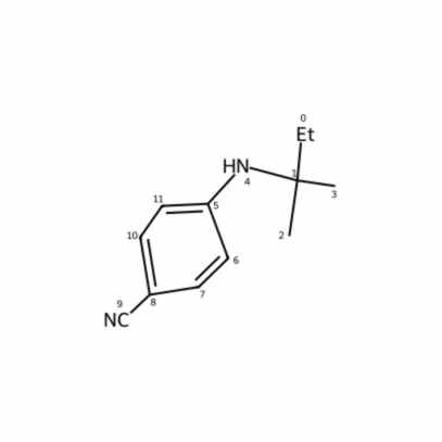 CCC(C)(C)Nc1ccc(C#N)cc1